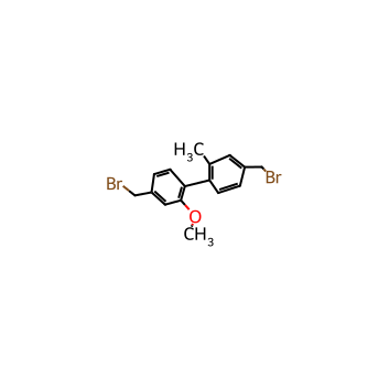 COc1cc(CBr)ccc1-c1ccc(CBr)cc1C